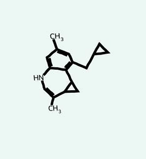 CC1=CNc2cc(C)cc(CC3CC3)c2C2CC12